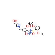 COc1cccc(OC)c1[S+]([O-])Nc1noc2cc(Cn3cc(CO)cn3)cc(O)c12